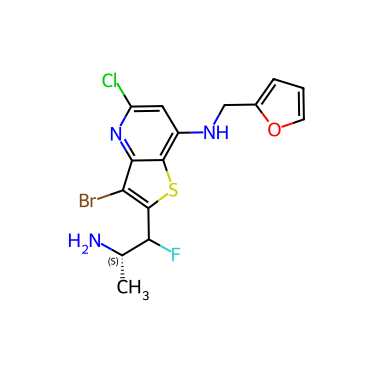 C[C@H](N)C(F)c1sc2c(NCc3ccco3)cc(Cl)nc2c1Br